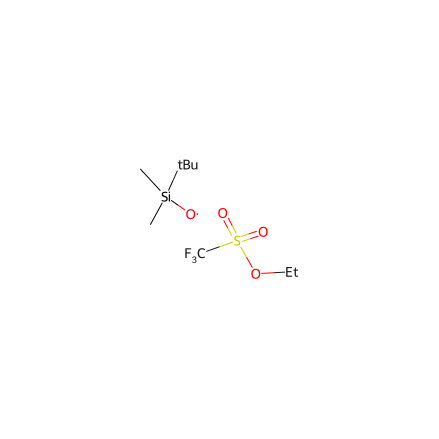 CC(C)(C)[Si](C)(C)[O].CCOS(=O)(=O)C(F)(F)F